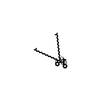 CC(C)CCCCCCCCCCCCCCC(=O)C(C(=O)CCCCCCCCCCCCCCC(C)C)C(C)([O][Ti](=[O])([O]c1ccccc1)[CH](C)C)c1ccccc1